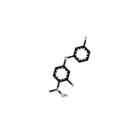 CB(O)c1ccc(Oc2cccc(F)c2)cc1F